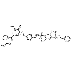 CCOC(=O)C(CCc1ccc(CNS(=O)(=O)c2cc3c(cc2Cl)NC(CCc2ccccc2)NS3)nc1)N[C@@H](C)C(=O)N1CCC[C@H]1C(=O)O